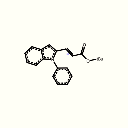 CC(C)(C)OC(=O)/C=C/c1cc2ccccc2n1-c1ccccc1